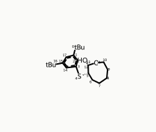 CC(C)(C)c1cc(S[C@H]2CCCCCC[C@H]2O)cc(C(C)(C)C)c1